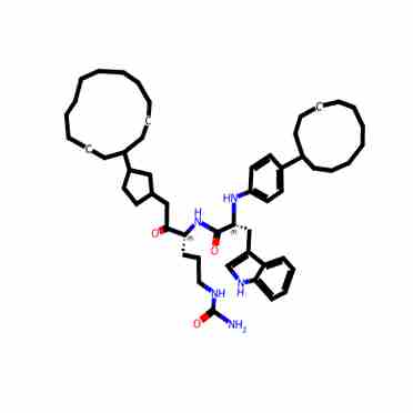 NC(=O)NCCC[C@@H](NC(=O)[C@@H](Cc1c[nH]c2ccccc12)Nc1ccc(C2CCCCCCCCCC2)cc1)C(=O)CC1CCC(C2CCCCCCCCCCCC2)C1